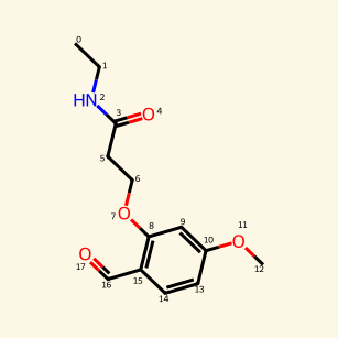 CCNC(=O)CCOc1cc(OC)ccc1C=O